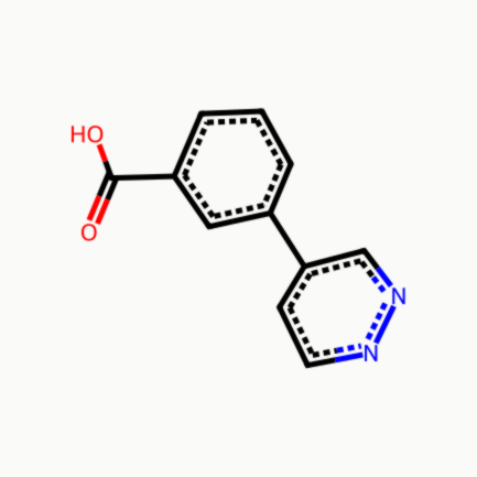 O=C(O)c1cccc(-c2ccnnc2)c1